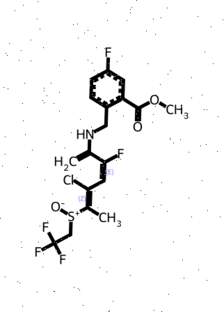 C=C(NCc1ccc(F)cc1C(=O)OC)/C(F)=C\C(Cl)=C(/C)[S+]([O-])CC(F)(F)F